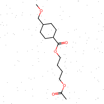 COCC1CCC(C(=O)OCCCCOC(C)=O)CC1